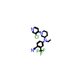 CCN(c1ccc(C#N)c(C(F)(F)F)c1)C1CCCN(c2ccncc2Cl)C1